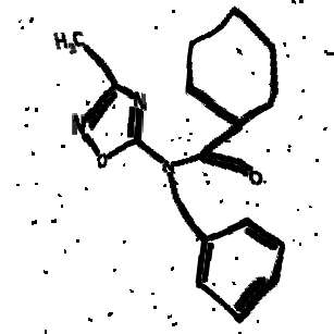 Cc1noc(N(Cc2ccccc2)C(=O)C2CCCCC2)n1